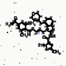 CCn1nc(C)cc1C(=O)Nc1nc2cccc(CN3CCOCC3)c2n1C/C=C/CNc1c(C)cc(C(N)=O)cc1N